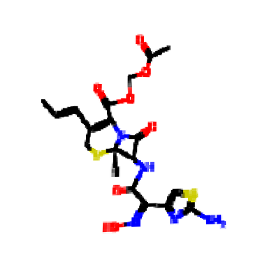 C/C=C/C1=C(C(=O)OCOC(C)=O)N2C(=O)[C@@H](NC(=O)/C(=N\O)c3csc(N)n3)[C@@H]2SC1